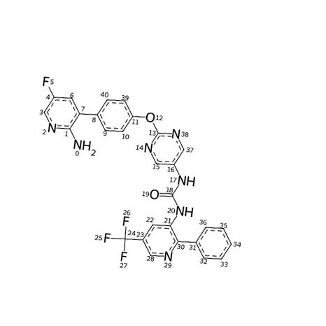 Nc1ncc(F)cc1-c1ccc(Oc2ncc(NC(=O)Nc3cc(C(F)(F)F)cnc3-c3ccccc3)cn2)cc1